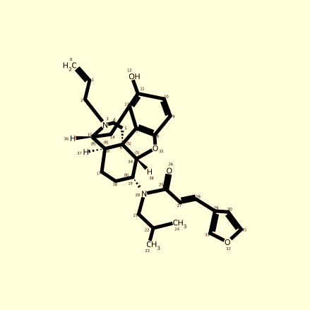 C=CCN1CC[C@@]23c4c5ccc(O)c4C[C@@H]1[C@@H]2CC[C@@H](N(CC(C)C)C(=O)C=Cc1ccoc1)[C@H]3O5